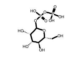 O=P(O)(O)OP(=O)(O)OC1O[C@H](CO)[C@@H](O)[C@H](O)[C@@H]1O